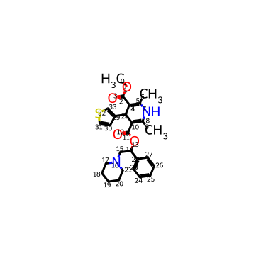 COC(=O)C1=C(C)NC(C)=C(C(=O)OC(CN2CCCCC2)c2ccccc2)C1c1ccsc1